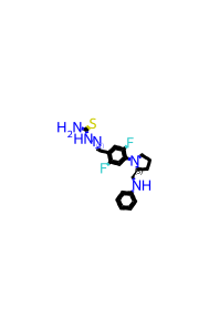 NC(=S)N/N=C/c1cc(F)c(N2CCC[C@H]2CNc2ccccc2)cc1F